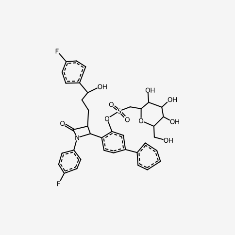 O=C1C(CCC(O)c2ccc(F)cc2)C(c2ccc(-c3ccccc3)cc2OS(=O)(=O)CC2OC(CO)C(O)C(O)C2O)N1c1ccc(F)cc1